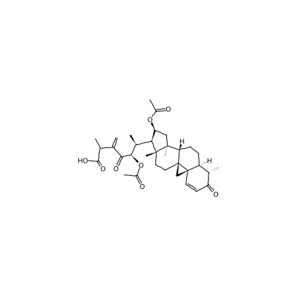 C=C(C(=O)[C@H](OC(C)=O)[C@@H](C)[C@H]1[C@@H](OC(C)=O)C[C@@]2(C)[C@@H]3CC[C@H]4[C@H](C)C(=O)C=C[C@@]45C[C@@]35CC[C@]12C)C(C)C(=O)O